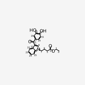 CCOC(=O)CCCn1cc(C(=O)c2ccc(O)c(O)c2)c2ccccc21